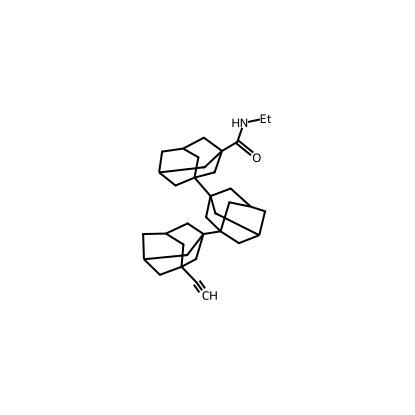 C#CC12CC3CC(C1)CC(C14CC5CC(C1)CC(C16CC7CC(CC(C(=O)NCC)(C7)C1)C6)(C5)C4)(C3)C2